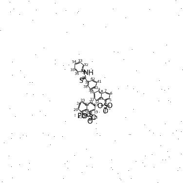 O=S(=O)([O-])c1cccc2ccccc12.O=S(=O)([O-])c1cccc2ccccc12.S=C(Nc1ccccc1)c1ccccc1.[Pb+2]